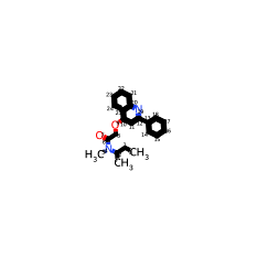 CCC(C)N(C)C(=O)COc1cc(-c2ccccc2)nc2ccccc12